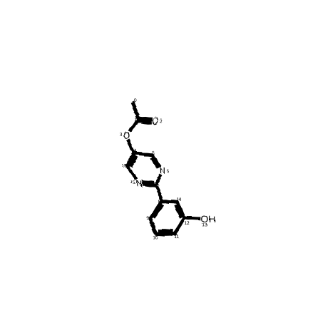 CC(=O)Oc1cnc(-c2cccc(O)c2)nc1